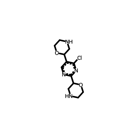 Clc1nc(C2CNCCO2)ncc1C1CNCCO1